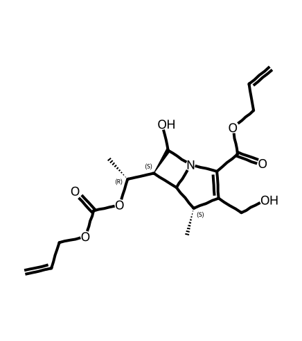 C=CCOC(=O)O[C@H](C)[C@H]1C(O)N2C(C(=O)OCC=C)=C(CO)[C@H](C)C12